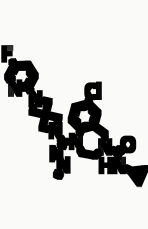 C=N/N=C(/N1CC2(C1)CN(c1ccc(F)cn1)C2)N1CCN(C(=O)NC2CC2)Cc2cc(Cl)ccc21